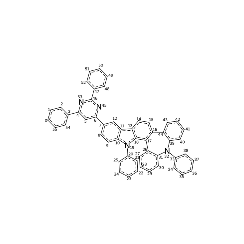 c1ccc(-c2cc(-c3ccc4c(c3)c3ccc5c(c3n4-c3ccccc3)-c3ccccc3N(c3ccccc3)c3ccccc3-5)nc(-c3ccccc3)n2)cc1